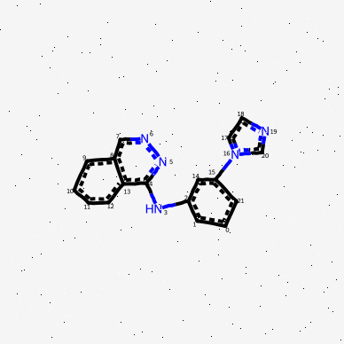 c1cc(Nc2nncc3ccccc23)cc(-n2ccnc2)c1